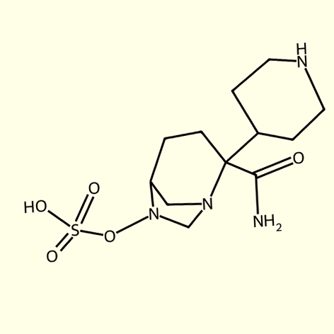 NC(=O)C1(C2CCNCC2)CCC2CN1CN2OS(=O)(=O)O